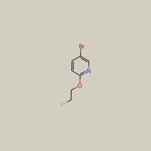 FCCOc1ccc(Br)cn1